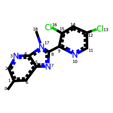 Cc1cnc2c(c1)nc(-c1ncc(Cl)cc1Cl)n2C